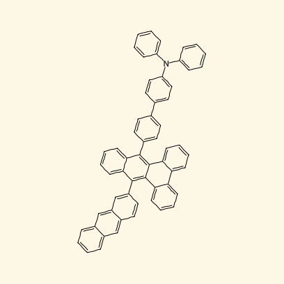 c1ccc(N(c2ccccc2)c2ccc(-c3ccc(-c4c5ccccc5c(-c5ccc6cc7ccccc7cc6c5)c5c6ccccc6c6ccccc6c45)cc3)cc2)cc1